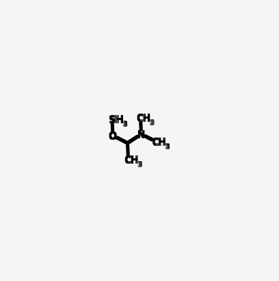 CC(O[SiH3])N(C)C